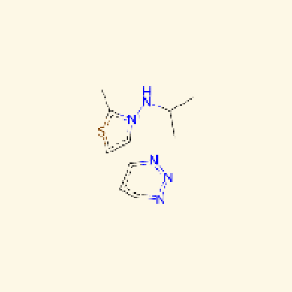 Cc1scc[n+]1NC(C)C.c1cnnnc1